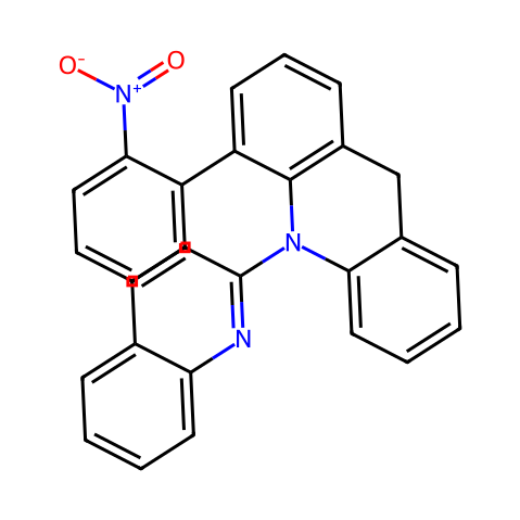 O=[N+]([O-])c1ccccc1-c1cccc2c1N(c1ccc3ccccc3n1)c1ccccc1C2